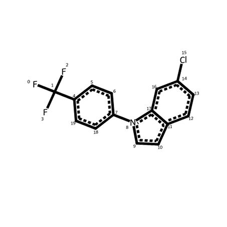 FC(F)(F)c1ccc(-n2ccc3ccc(Cl)cc32)cc1